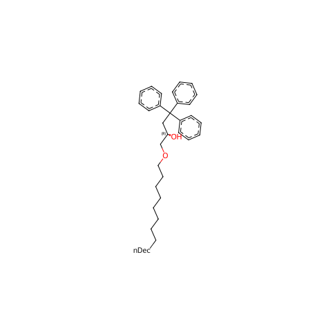 CCCCCCCCCCCCCCCCCCOC[C@H](O)CC(c1ccccc1)(c1ccccc1)c1ccccc1